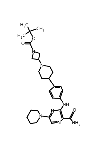 CC(C)(C)OC(=O)N1CC(N2CCC(c3ccc(Nc4nc(N5CCCCC5)cnc4C(N)=O)cc3)CC2)C1